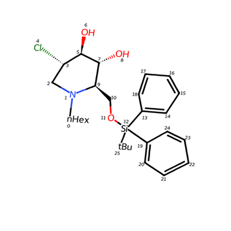 CCCCCCN1C[C@H](Cl)[C@@H](O)[C@H](O)[C@H]1CO[Si](c1ccccc1)(c1ccccc1)C(C)(C)C